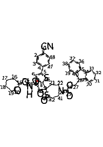 N#Cc1ccc(-c2ccc(C3(CC(=O)NOC4CCCCO4)CCN(C(=O)OCC4c5ccccc5-c5ccccc54)CCS3(=O)=O)s2)cc1